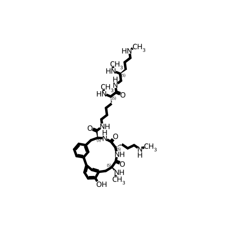 CNCCC[C@@H](CNC(=O)[C@H](CCCCNC(=O)[C@@H]1Cc2cccc(c2)-c2ccc(O)c(c2)C[C@H](NC)C(=O)N[C@@H](CCCNC)C(=O)N1)NC)NC